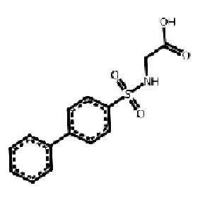 O=C(O)CNS(=O)(=O)c1ccc(-c2ccccc2)cc1